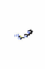 CNc1ncc(CN2CCC(Cc3ccccn3)C2)s1